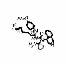 COc1ccc(NC(CCC/C=C/F)NC(=O)N(C(N)=O)c2cncc3ccccc23)cc1